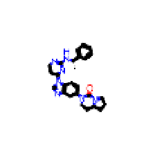 C[C@H](Nc1nccc(-n2cnc3cc(N4CCC5CCCN5C4=O)ccc32)n1)c1ccccc1